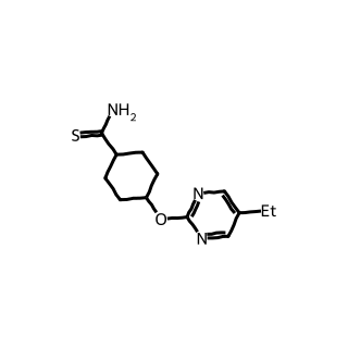 CCc1cnc(OC2CCC(C(N)=S)CC2)nc1